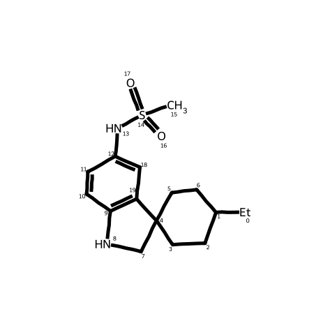 CCC1CCC2(CC1)CNc1ccc(NS(C)(=O)=O)cc12